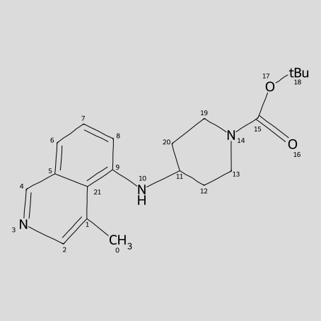 Cc1cncc2cccc(NC3CCN(C(=O)OC(C)(C)C)CC3)c12